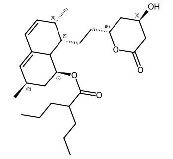 CCCC(CCC)C(=O)O[C@H]1C[C@@H](C)C=C2C=C[C@H](C)[C@H](CC[C@@H]3C[C@@H](O)CC(=O)O3)C21